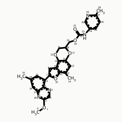 COc1cnc2c(-c3cc4c5c(cc(C)c4o3)OC(COC(=O)Nc3ccc(C)nc3)CO5)cc(C)cc2n1